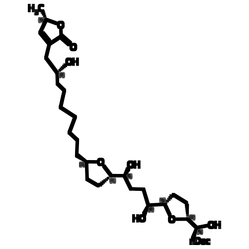 CCCCCCCCCC[C@H](O)[C@H]1CC[C@@H]([C@@H](O)CC[C@H](O)[C@@H]2CC[C@@H](CCCCCCC[C@@H](O)CC3=C[C@H](C)OC3=O)O2)O1